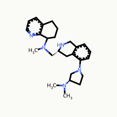 CN(C[C@H]1Cc2c(cccc2N2CC[C@@H](N(C)C)C2)CN1)C1CCCc2cccnc21